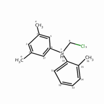 Cc1cc(C)cc([SiH](CCl)c2ccccc2C)c1